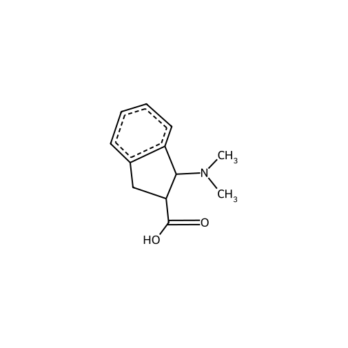 CN(C)C1c2ccccc2CC1C(=O)O